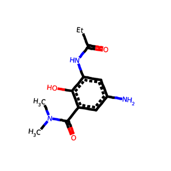 CCC(=O)Nc1cc(N)cc(C(=O)N(C)C)c1O